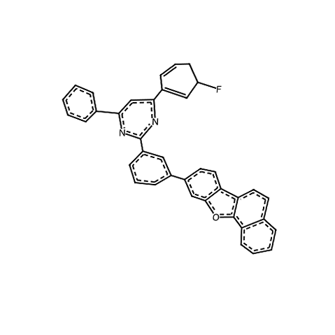 FC1C=C(c2cc(-c3ccccc3)nc(-c3cccc(-c4ccc5c(c4)oc4c6ccccc6ccc54)c3)n2)C=CC1